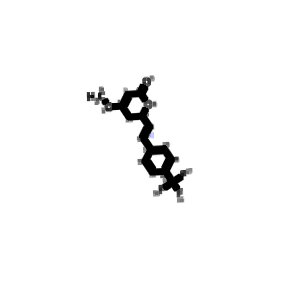 COC1=CC(=O)OC(/C=C/c2ccc(C(F)(F)F)cc2)C1